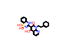 O=c1c(C2=NS(O)(O)c3ccccc3N2)c(O)c2cccnc2n1CCC1=CCCCC1